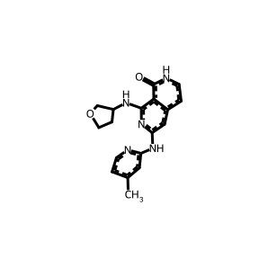 Cc1ccnc(Nc2cc3cc[nH]c(=O)c3c(NC3CCOC3)n2)c1